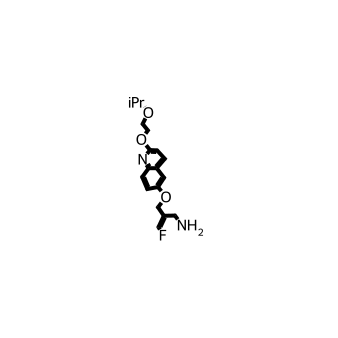 CC(C)OCCOc1ccc2cc(OC/C(=C/F)CN)ccc2n1